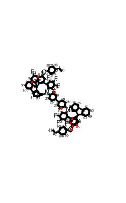 C=Cc1ccc(Oc2ccc3c(c2)-c2c(F)c(F)c(F)c(F)c2N(c2ccc(-c4ccc(N5c6ccc7c(c6)C(c6ccc(F)cc6)(c6ccccc6-7)c6ccc(Oc7ccc(C=C)cc7)cc6-c6c(F)c(F)c(F)c(F)c65)cc4)cc2)c2ccc4c(c2)C3(c2ccc(F)cc2)c2ccccc2-4)cc1